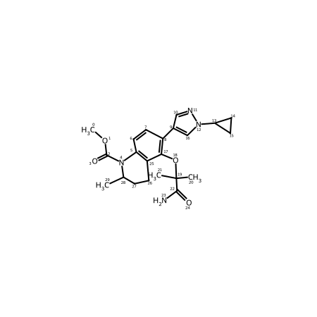 COC(=O)N1c2ccc(-c3cnn(C4CC4)c3)c(OC(C)(C)C(N)=O)c2CCC1C